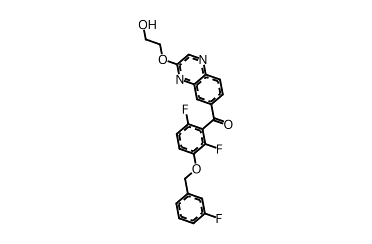 O=C(c1ccc2ncc(OCCO)nc2c1)c1c(F)ccc(OCc2cccc(F)c2)c1F